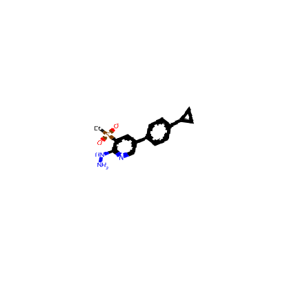 CCS(=O)(=O)c1cc(-c2ccc(C3CC3)cc2)cnc1NN